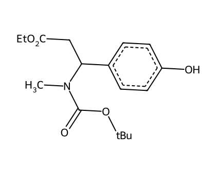 CCOC(=O)CC(c1ccc(O)cc1)N(C)C(=O)OC(C)(C)C